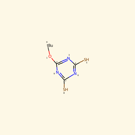 CC(C)(C)Oc1nc(S)nc(S)n1